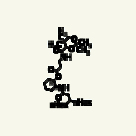 CCCCCCC(CCCCCC)CC(=O)N[C@H]1CCCC[C@@H]1OC(=O)CCNC(=O)C1OC(C)(C)OCC1(C)C